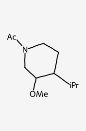 COC1CN(C(C)=O)CCC1C(C)C